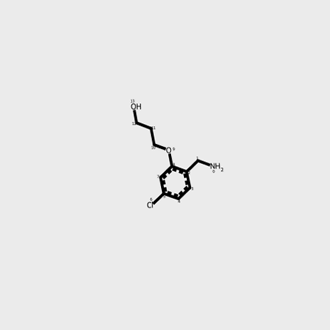 NCc1ccc(Cl)cc1OCCCO